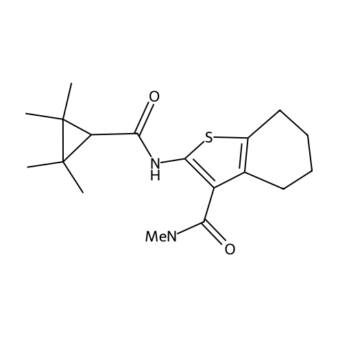 CNC(=O)c1c(NC(=O)C2C(C)(C)C2(C)C)sc2c1CCCC2